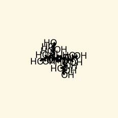 O=C(c1c(I)c(I)c(C(=O)N(CC(O)C(O)C(O)CO)CC(O)C(O)C(O)CO)c(I)c1I)N(CC(O)C(O)C(O)CO)CC(O)C(O)C(O)CO